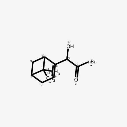 CCCCC(=O)C(O)C1=CCC2CC1C2(C)C